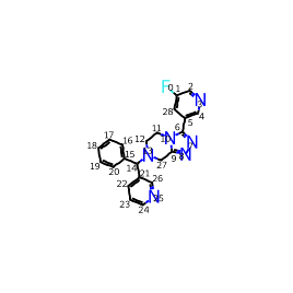 Fc1cncc(-c2nnc3n2CCN(C(c2ccccc2)c2cccnc2)C3)c1